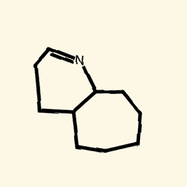 C1=NC2CCCCCC2CC1